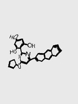 Oc1cc(O)c(-c2nc(OC3CCCC3)cc(C3=CCC4C=C5CCC=CC5=CC4=C3)n2)c(O)c1